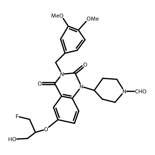 COc1ccc(Cn2c(=O)c3cc(OC(CO)CF)ccc3n(C3CCN(C=O)CC3)c2=O)cc1OC